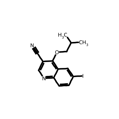 CC(C)COc1c(C#N)cnc2ccc(I)cc12